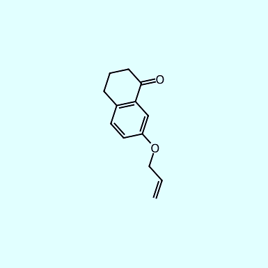 C=CCOc1ccc2c(c1)C(=O)CCC2